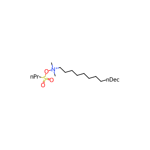 CCCCCCCCCCCCCCCCCC[N+](C)(C)OS(=O)(=O)CCC